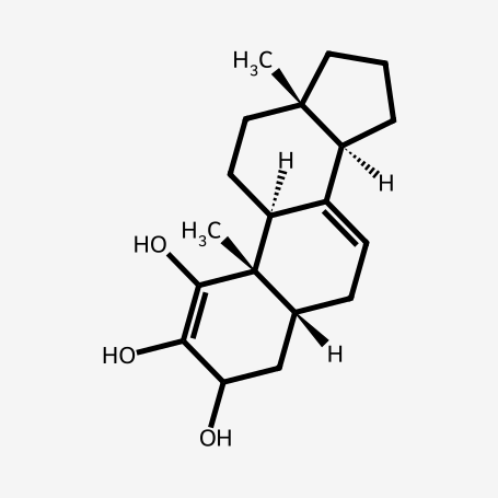 C[C@@]12CCC[C@H]1C1=CC[C@@H]3CC(O)C(O)=C(O)[C@]3(C)[C@H]1CC2